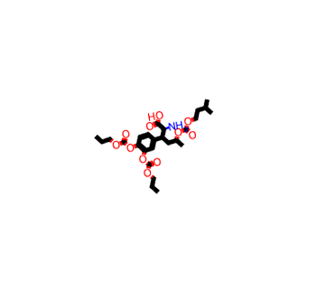 CCCOC(=O)Oc1ccc(C(CC(C)OC(=O)OCCC(C)C)[C@H](N)C(=O)O)cc1OC(=O)OCCC